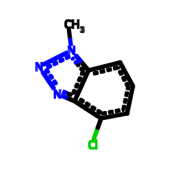 Cn1nnc2c(Cl)cccc21